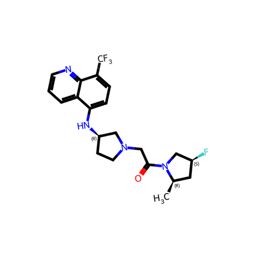 C[C@@H]1C[C@H](F)CN1C(=O)CN1CC[C@@H](Nc2ccc(C(F)(F)F)c3ncccc23)C1